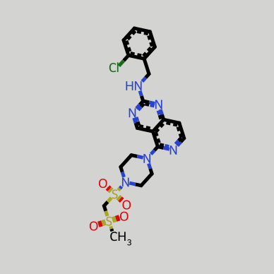 CS(=O)(=O)CS(=O)(=O)N1CCN(c2nccc3nc(NCc4ccccc4Cl)ncc23)CC1